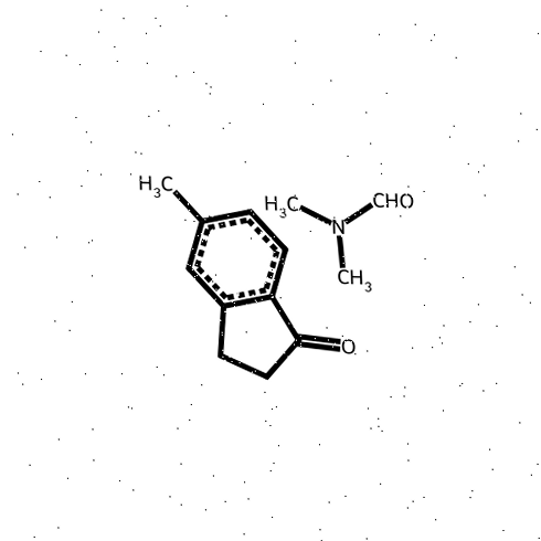 CN(C)C=O.Cc1ccc2c(c1)CCC2=O